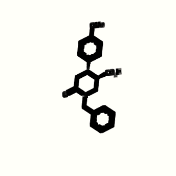 COc1ccc([C@H]2CC(=O)N(Cc3ccccc3)C[C@@H]2C(=O)O)cc1